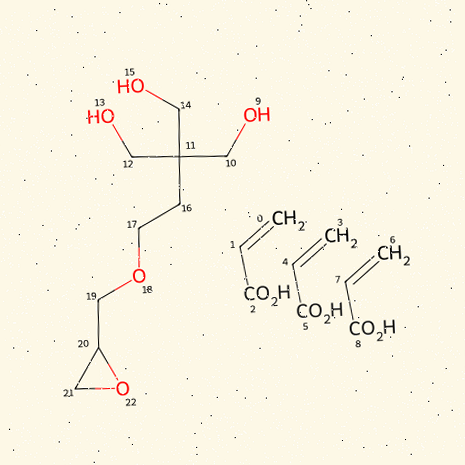 C=CC(=O)O.C=CC(=O)O.C=CC(=O)O.OCC(CO)(CO)CCOCC1CO1